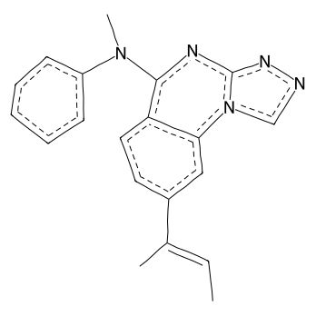 CC=C(C)c1ccc2c(N(C)c3ccccc3)nc3nncn3c2c1